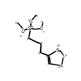 CO[Si](CCCC1=CSSS1)(OC)OC